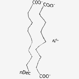 CCCCCCCCCCCCCCCCCC(=O)[O-].O=C([O-])CCCCCCCC(=O)[O-].[Al+3]